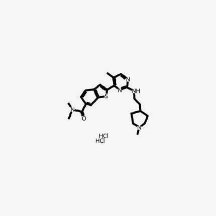 Cc1cnc(NCCC2CCN(C)CC2)nc1-c1cc2ccc(C(=O)N(C)C)cc2s1.Cl.Cl